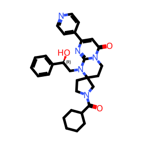 O=C(C1CCCCC1)N1CCC2(CCn3c(nc(-c4ccncc4)cc3=O)N2C[C@H](O)c2ccccc2)C1